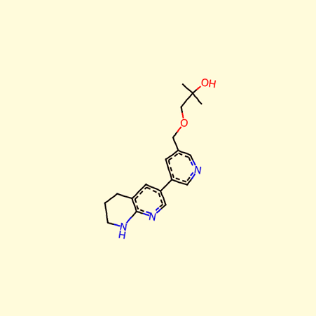 CC(C)(O)COCc1cncc(-c2cnc3c(c2)CCCN3)c1